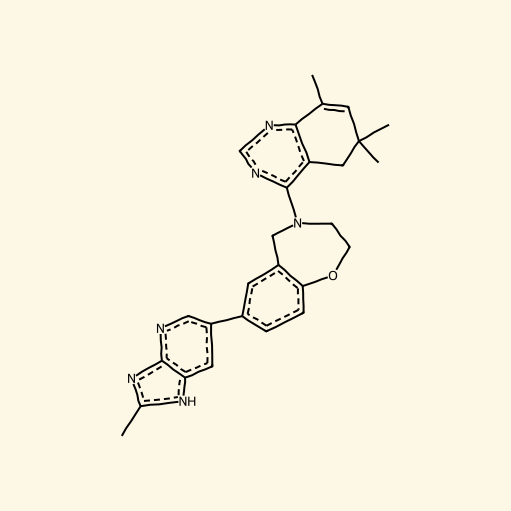 CC1=CC(C)(C)Cc2c1ncnc2N1CCOc2ccc(-c3cnc4nc(C)[nH]c4c3)cc2C1